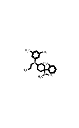 CCCN(c1cc(C)cc(C)c1)C1CCC(c2ccccc2C)(N(C)C)CC1